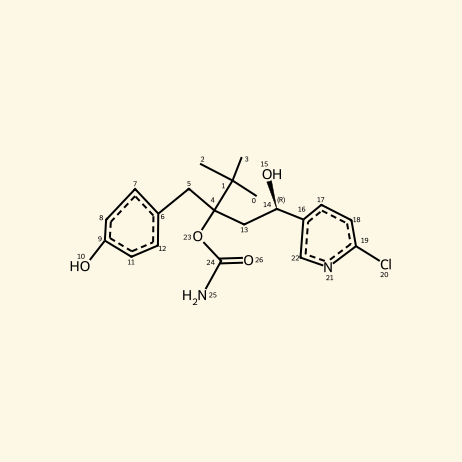 CC(C)(C)C(Cc1ccc(O)cc1)(C[C@@H](O)c1ccc(Cl)nc1)OC(N)=O